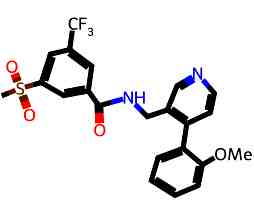 COc1ccccc1-c1ccncc1CNC(=O)c1cc(C(F)(F)F)cc(S(C)(=O)=O)c1